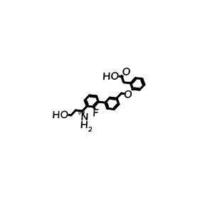 N[C@H](CCO)c1cccc(-c2cccc(COc3ccccc3CC(=O)O)c2)c1F